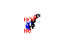 CCc1nn(C)c(CO)c1-c1c(C)ccc2c(CCCO[Si](C)(C)C(C)(C)C)c(C(=O)O)[nH]c12